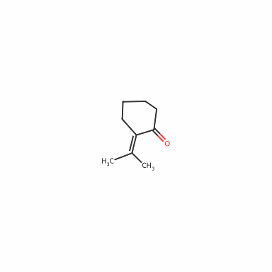 CC(C)=C1CCCCC1=O